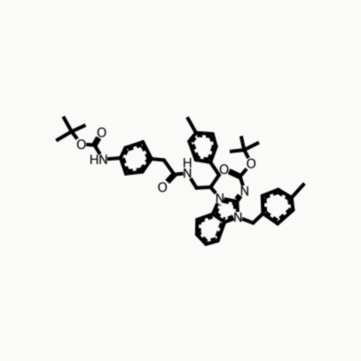 Cc1ccc(CC(CNC(=O)Cc2ccc(NC(=O)OC(C)(C)C)cc2)n2c(=NC(=O)OC(C)(C)C)n(Cc3ccc(C)cc3)c3ccccc32)cc1